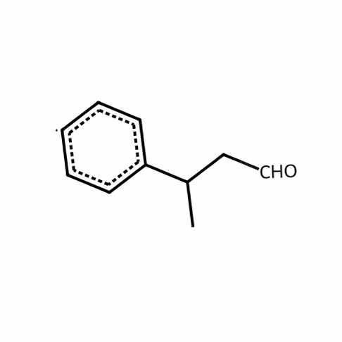 CC(CC=O)c1cc[c]cc1